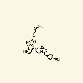 COCCOCC(=O)Nc1nc(N2CCN(C(=O)Cc3ccc(C#N)cc3)C3(CC3)C2)c2cc[nH]c2n1